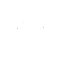 Cc1ccccc1NC(=O)c1cccc(-c2ccccn2)n1